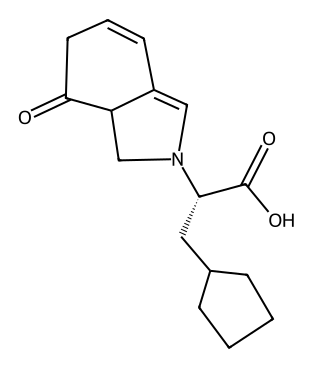 O=C1CC=CC2=CN([C@@H](CC3CCCC3)C(=O)O)CC12